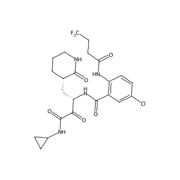 O=C(CCC(F)(F)F)Nc1ccc(Cl)cc1C(=O)N[C@@H](C[C@@H]1CCCNC1=O)C(=O)C(=O)NC1CC1